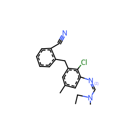 CCN(C)/C=N\c1cc(C)cc(Cc2ccccc2C#N)c1Cl